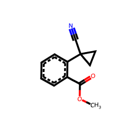 COC(=O)c1ccccc1C1(C#N)CC1